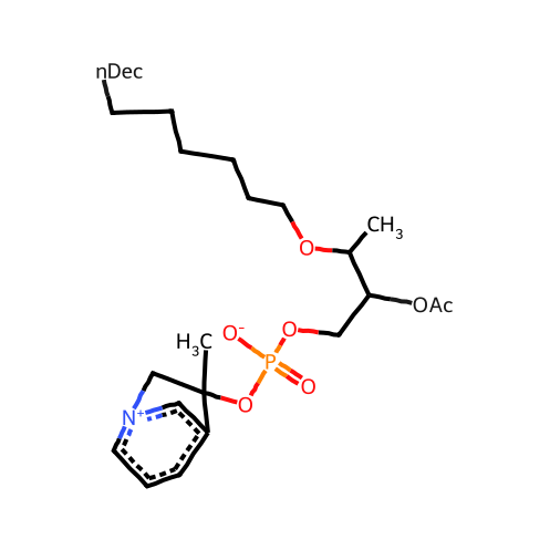 CCCCCCCCCCCCCCCCOC(C)C(COP(=O)([O-])OC1(C)C[n+]2cccc1c2)OC(C)=O